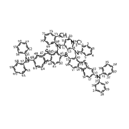 Cc1ccccc1N1c2cccc3c2B(c2ccc4c(sc5cc(N(c6ccccc6)c6ccccc6)ccc54)c21)c1ccc2c(sc4cc(N(c5ccccc5)c5ccccc5)ccc42)c1N3c1ccccc1C